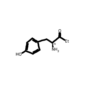 CCC(=O)[C@@H](N)Cc1ccc(O)cc1